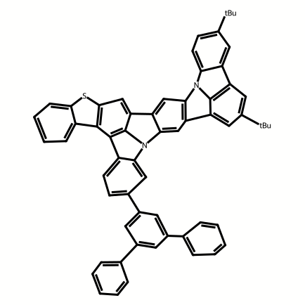 CC(C)(C)c1ccc2c(c1)c1cc(C(C)(C)C)cc3c4cc5c(cc4n2c13)c1cc2sc3ccccc3c2c2c3ccc(-c4cc(-c6ccccc6)cc(-c6ccccc6)c4)cc3n5c12